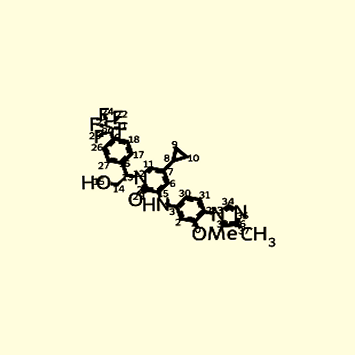 COc1cc(Nc2cc(C3CC3)cn([C@@H](CO)c3ccc(S(F)(F)(F)(F)F)cc3)c2=O)ccc1-n1cnc(C)c1